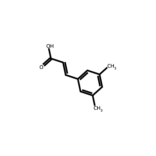 Cc1cc(C)cc(C=CC(=O)O)c1